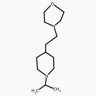 CC(C)N1CCC(CCN2CCOCC2)CC1